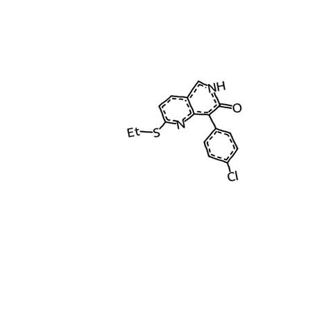 CCSc1ccc2c[nH]c(=O)c(-c3ccc(Cl)cc3)c2n1